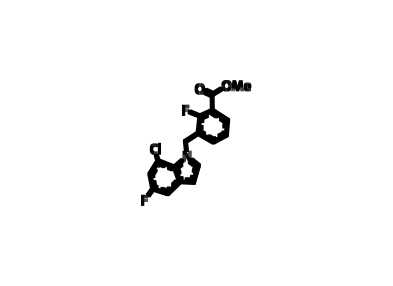 COC(=O)c1cccc(Cn2ccc3cc(F)cc(Cl)c32)c1F